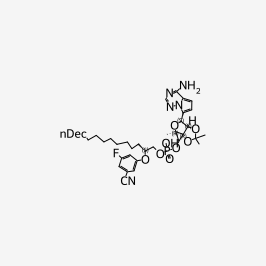 CCCCCCCCCCCCCCCCCC[C@@H](COP(=O)(O)OC1[C@@]2(C)O[C@@H](c3ccc4c(N)ncnn34)[C@@H]3OC(C)(C)O[C@@]132)Oc1cc(F)cc(C#N)c1